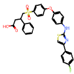 O=C(O)CC(CS(=O)(=O)c1ccc(Oc2ccc(Nc3nc(-c4ccc(F)cc4)cs3)cc2)cc1)c1ccccc1